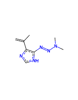 C=C(C)c1nc[nH]c1/N=N/N(C)C